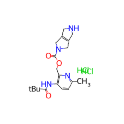 Cc1ccc(NC(=O)C(C)(C)C)c(COC(=O)N2CC3=C(CNC3)C2)n1.Cl.Cl